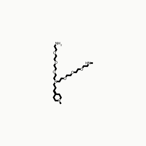 CNCCOCCOCCOCCN(CCC=C1CCN(C)CC1)CCOCCOCCOCCN